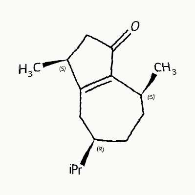 CC(C)[C@@H]1CC[C@H](C)C2=C(C1)[C@@H](C)CC2=O